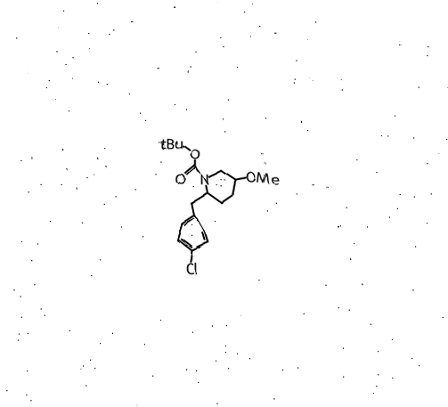 COC1CCC(Cc2ccc(Cl)cc2)N(C(=O)OC(C)(C)C)C1